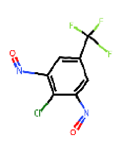 O=Nc1cc(C(F)(F)F)cc(N=O)c1Cl